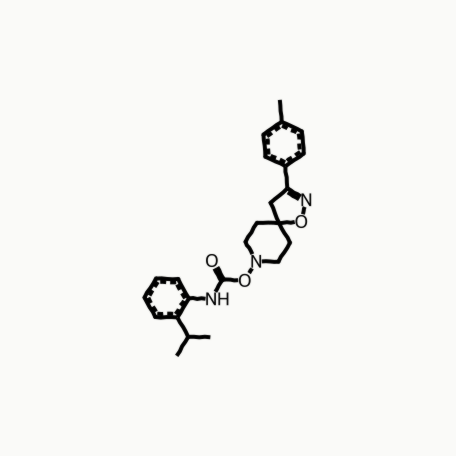 Cc1ccc(C2=NOC3(CCN(OC(=O)Nc4ccccc4C(C)C)CC3)C2)cc1